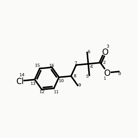 COC(=O)C(C)(C)CC(C)c1ccc(Cl)cc1